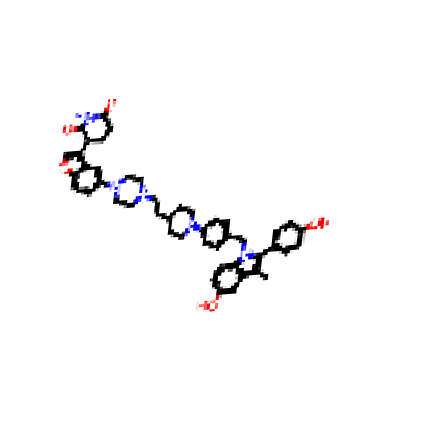 Cc1c(-c2ccc(O)cc2)n(Cc2ccc(N3CCC(CCN4CCN(c5ccc6occ(C7CCC(=O)NC7=O)c6c5)CC4)CC3)cc2)c2ccc(O)cc12